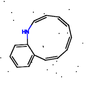 C1=CC=CNc2ccccc2C=CC=C1